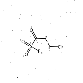 O=C(CCCl)S(=O)(=O)F